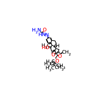 C=C[C@@H]1CC2[C@@H]3CCC4=C/C(=N/NC(=O)CN)C=C[C@]4(C)C3[C@@H](O)C[C@@]23CO[C@]13C(=O)CO[Si](C)(C)C(C)(C)C